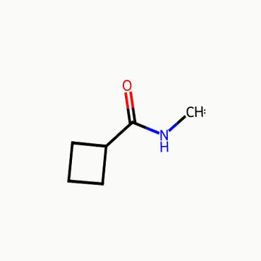 [CH]NC(=O)C1CCC1